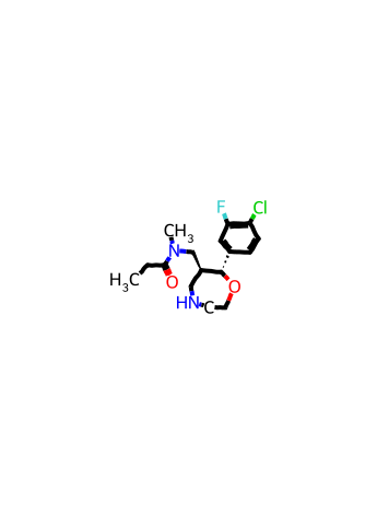 CCC(=O)N(C)C[C@@H]1CNCCO[C@H]1c1ccc(Cl)c(F)c1